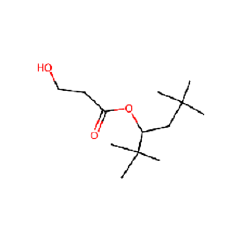 CC(C)(C)CC(OC(=O)CCO)C(C)(C)C